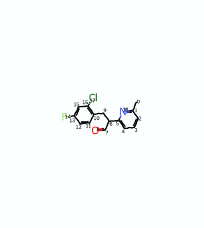 Cc1cccc(C(C=O)Cc2ccc(F)cc2Cl)n1